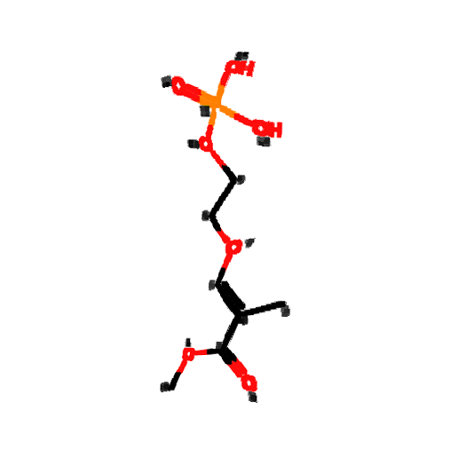 COC(=O)C(C)=COCCOP(=O)(O)O